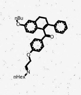 CCCCCCN=CCOc1ccc(C(=O)C2=C(c3ccccc3)CCc3cc(OCCCC)ccc32)cc1